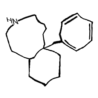 c1ccc(C23CCCCC2CCNCC3)cc1